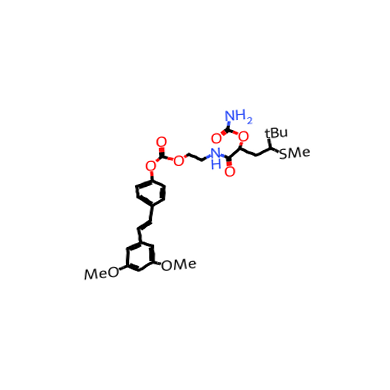 COc1cc(C=Cc2ccc(OC(=O)OCCNC(=O)C(CC(SC)C(C)(C)C)OC(N)=O)cc2)cc(OC)c1